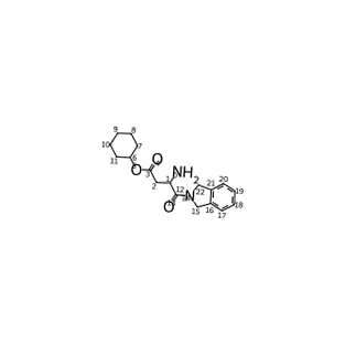 NC(CC(=O)OC1CCCCC1)C(=O)N1Cc2ccccc2C1